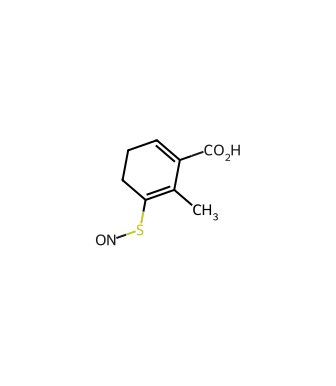 CC1=C(SN=O)CCC=C1C(=O)O